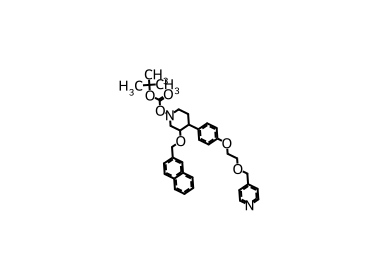 CC(C)(C)OC(=O)ON1CCC(c2ccc(OCCOCc3ccncc3)cc2)C(OCc2ccc3ccccc3c2)C1